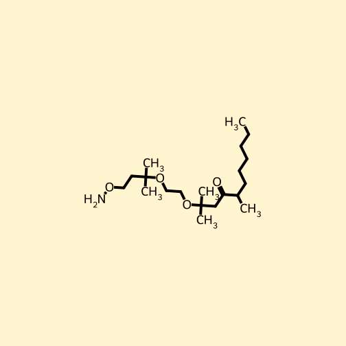 CCCCCCC(C)C(=O)CC(C)(C)OCCOC(C)(C)CCON